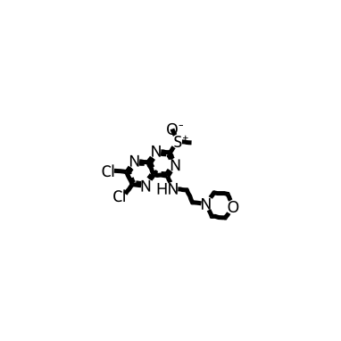 C[S+]([O-])c1nc(NCCN2CCOCC2)c2nc(Cl)c(Cl)nc2n1